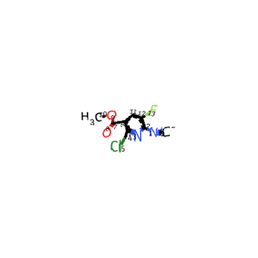 [C-]#[N+]c1nc(Cl)c(C(=O)OC)cc1F